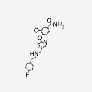 COc1cc(C(N)=O)ccc1Oc1ncc(CNCCc2ccc(F)cc2)s1